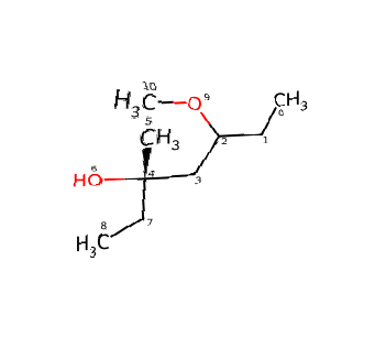 CCC(C[C@@](C)(O)CC)OC